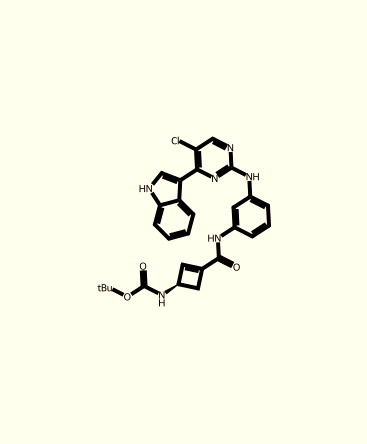 CC(C)(C)OC(=O)N[C@H]1C=C(C(=O)Nc2cccc(Nc3ncc(Cl)c(-c4c[nH]c5ccccc45)n3)c2)C1